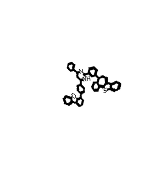 C1=c2c(sc3ccccc23)=c2ccccc2=C(c2cccc(C3=NC(c4ccccc4)CC(c4ccc(-c5cccc6c5oc5ccccc56)cc4)N3)c2)C1